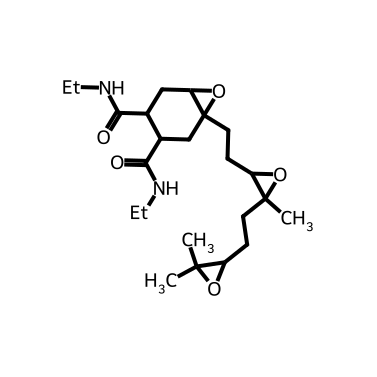 CCNC(=O)C1CC2OC2(CCC2OC2(C)CCC2OC2(C)C)CC1C(=O)NCC